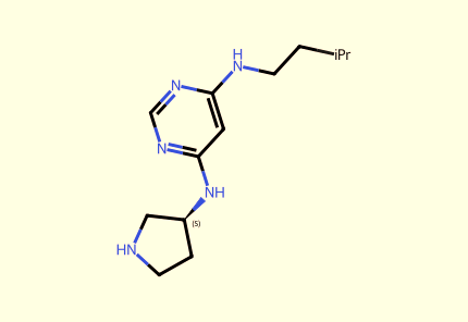 CC(C)CCNc1cc(N[C@H]2CCNC2)ncn1